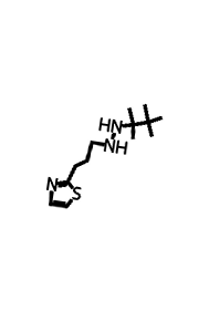 CC(C)(C)C(C)(C)NNCCCc1nccs1